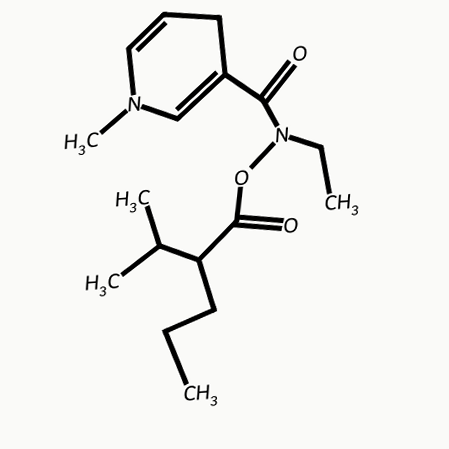 CCCC(C(=O)ON(CC)C(=O)C1=CN(C)C=CC1)C(C)C